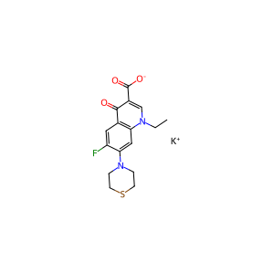 CCn1cc(C(=O)[O-])c(=O)c2cc(F)c(N3CCSCC3)cc21.[K+]